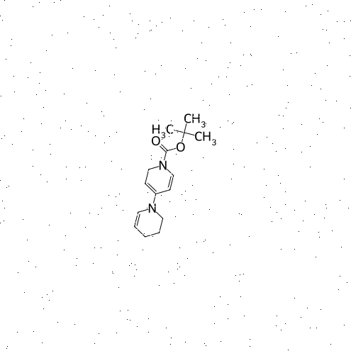 CC(C)(C)OC(=O)N1C=CC(N2C=CCCC2)=CC1